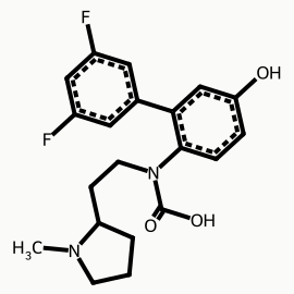 CN1CCCC1CCN(C(=O)O)c1ccc(O)cc1-c1cc(F)cc(F)c1